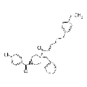 CCc1ccc(CCC/C=C/C(=O)C2(CC3=CCCC=C3)CCN(C(=O)c3ccc(Cl)cc3)CC2)cc1